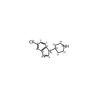 Clc1ccc2c(c1)ncn2C1CCNCC1